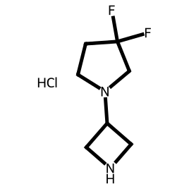 Cl.FC1(F)CCN(C2CNC2)C1